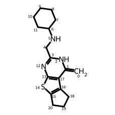 C=C1NC(CNC2CCCCC2)=Nc2sc3c(c21)CCC3